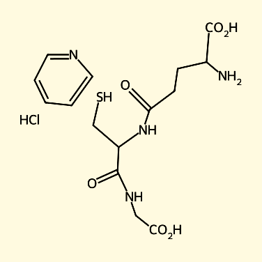 Cl.NC(CCC(=O)NC(CS)C(=O)NCC(=O)O)C(=O)O.c1ccncc1